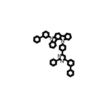 c1ccc(-c2cccc(-c3cc(-c4ccc(-n5c6ccccc6c6ccc7c(c8ccccc8n7-c7cccc(-c8ccccc8)c7)c65)cc4)nc(-c4ccccc4)n3)c2)cc1